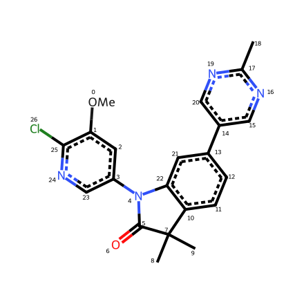 COc1cc(N2C(=O)C(C)(C)c3ccc(-c4cnc(C)nc4)cc32)cnc1Cl